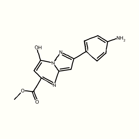 COC(=O)c1cc(O)n2nc(-c3ccc(N)cc3)cc2n1